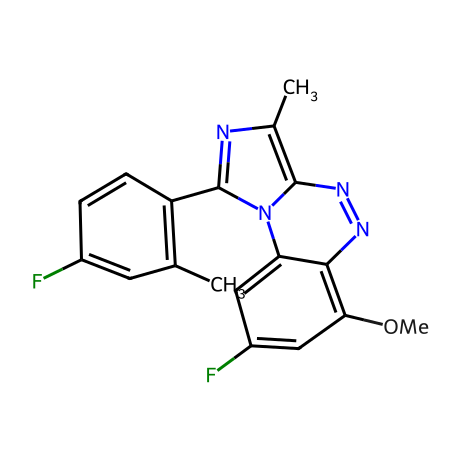 COc1cc(F)cc2c1nnc1c(C)nc(-c3ccc(F)cc3C)n12